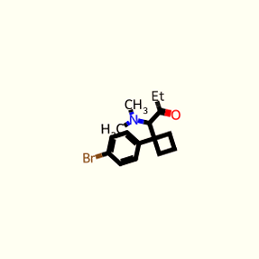 CCC(=O)C(N(C)C)C1(c2ccc(Br)cc2)CCC1